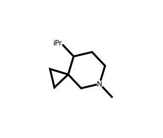 CC(C)C1CCN(C)CC12CC2